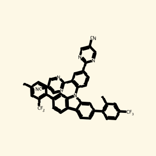 Cc1ccc(-c2ccc3c4ccc(-c5ccc(C(F)(F)F)cc5C)cc4n(-c4ccc(-c5ncc(C#N)cn5)cc4-c4ncc(C#N)cn4)c3c2)c(C(F)(F)F)c1